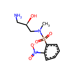 CN(C[C@H](O)CN)S(=O)(=O)c1ccccc1[N+](=O)[O-]